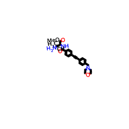 COC(=O)C(NC(=O)c1ccc(C#Cc2ccc(CN3CCOCC3)cc2)cc1)C(C)(C)N